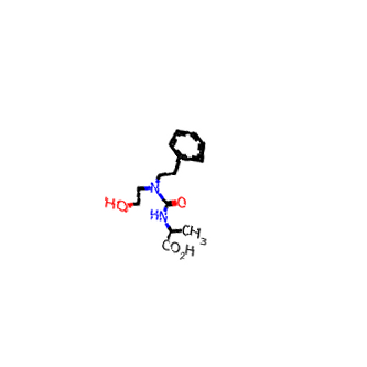 C[C@H](NC(=O)N(CCO)CCc1ccccc1)C(=O)O